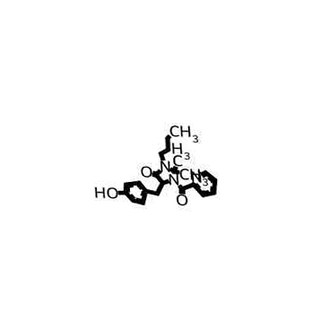 CCCCN1C(=O)C(Cc2ccc(O)cc2)N(C(=O)c2ccccn2)C1(C)C